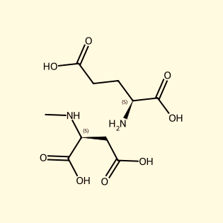 CN[C@@H](CC(=O)O)C(=O)O.N[C@@H](CCC(=O)O)C(=O)O